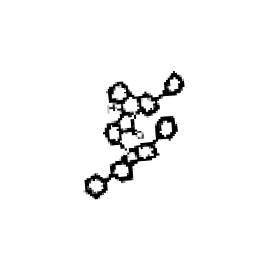 O=C1c2c(cccc2-n2c3cc(-c4ccccc4)ccc3c3ccc(-c4ccccc4)cc32)C(O)N1c1ccc(-c2ccccc2)cc1-c1ccccc1